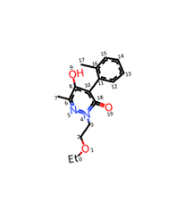 CCOCCn1nc(C)c(O)c(-c2ccccc2C)c1=O